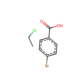 CCCl.O=C(O)c1ccc(Br)cc1